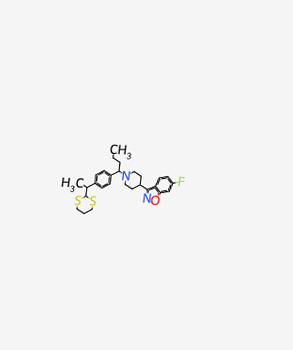 CCCC(c1ccc(C(C)C2SCCCS2)cc1)N1CCC(c2noc3cc(F)ccc23)CC1